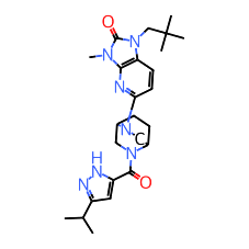 CC(C)c1cc(C(=O)N2CC3CCC2CN3c2ccc3c(n2)n(C)c(=O)n3CC(C)(C)C)[nH]n1